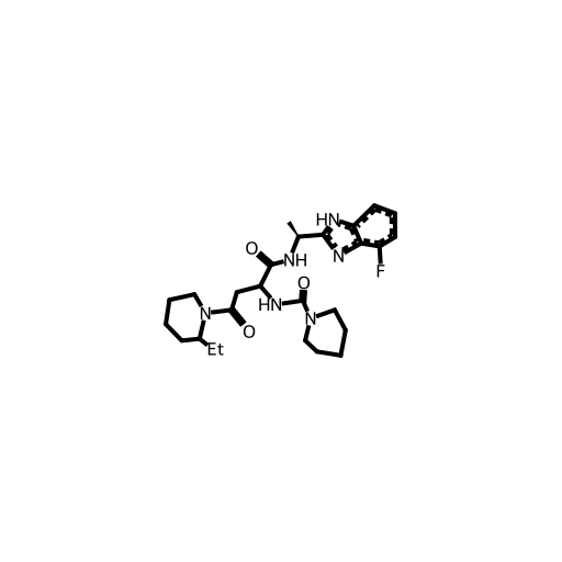 CCC1CCCCN1C(=O)CC(NC(=O)N1CCCCC1)C(=O)N[C@@H](C)c1nc2c(F)cccc2[nH]1